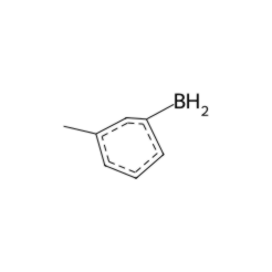 Bc1cccc(C)c1